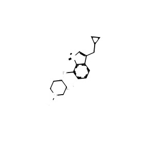 CN1CC[C@H](Nc2cccc3c2S(=O)(=O)C=C3CC2CC2)[C@H](F)C1